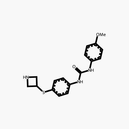 COc1ccc(NC(=O)Nc2ccc(SC3CNC3)cc2)cc1